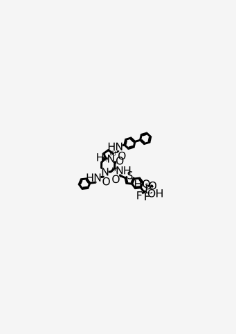 O=C(N[C@H]1CN(C(=O)NCc2ccccc2)CC[C@H]2CC[C@@H](C(=O)Nc3ccc(-c4ccccc4)cc3)N2C1=O)c1cc2cc(C(F)(F)P(=O)(O)O)ccc2s1